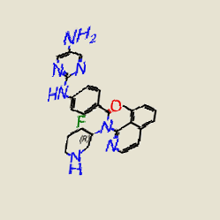 Cc1cccc2ccnc(N(C(=O)c3ccc(Nc4ncc(N)cn4)cc3F)[C@@H]3CCCNC3)c12